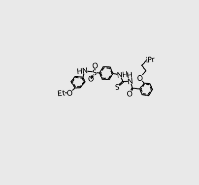 CCOc1ccc(NS(=O)(=O)c2ccc(NC(=S)NC(=O)c3ccccc3OCCC(C)C)cc2)cc1